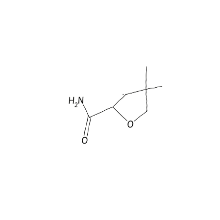 CC1(C)[CH]C(C(N)=O)OC1